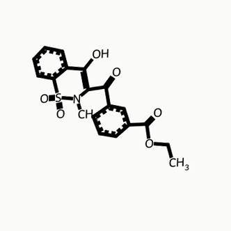 CCOC(=O)c1cccc(C(=O)C2=C(O)c3ccccc3S(=O)(=O)N2C)c1